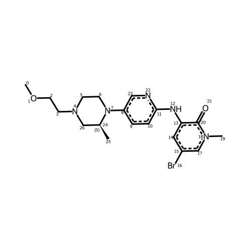 COCCN1CCN(c2ccc(Nc3cc(Br)cn(C)c3=O)nc2)[C@@H](C)C1